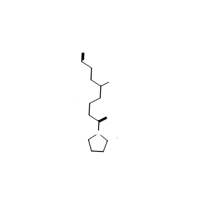 C=CCCC(C)C[C@@H](C)CC(=O)N1CCC[C@H]1C(=O)O